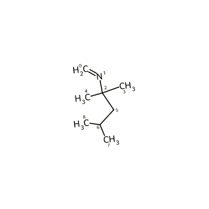 C=NC(C)(C)CC(C)C